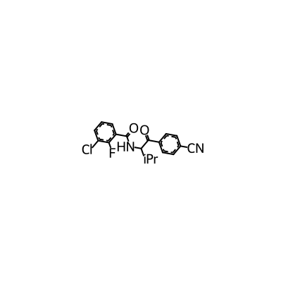 CC(C)C(NC(=O)c1cccc(Cl)c1F)C(=O)c1ccc(C#N)cc1